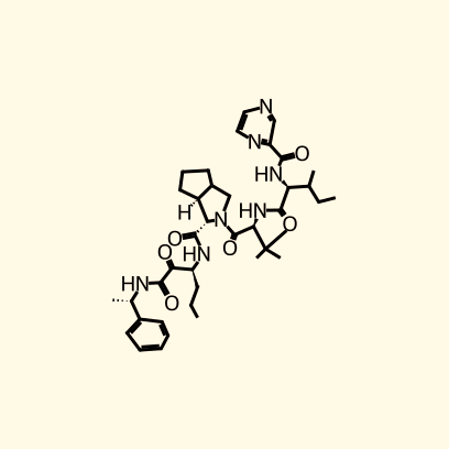 CCC[C@H](NC(=O)[C@@H]1[C@H]2CCCC2CN1C(=O)[C@@H](NC(=O)[C@@H](NC(=O)c1cnccn1)C(C)CC)C(C)(C)C)C(=O)C(=O)N[C@@H](C)c1ccccc1